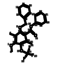 COc1c(C)c(OCc2ccccc2)c(C(=O)Oc2ccccc2)c(C)c1OC(F)(F)F